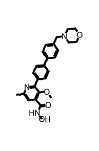 COc1c(C(=O)NO)cc(C)nc1-c1ccc(-c2ccc(CN3CCOCC3)cc2)cc1